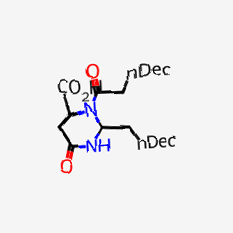 CCCCCCCCCCCC(=O)N1C(CCCCCCCCCCC)NC(=O)CC1C(=O)O